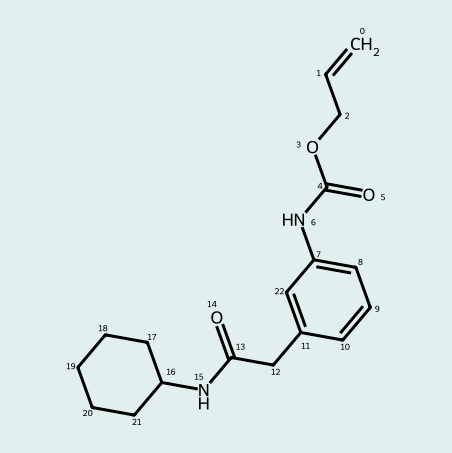 C=CCOC(=O)Nc1cccc(CC(=O)NC2CCCCC2)c1